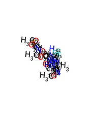 C=CC(=O)Nc1cc(OC(C)C(=O)N2CCN(S(C)(=O)=O)CC2)ccc1Nc1nc(Nc2cc(OC)ncc2C)ncc1C(F)(F)F